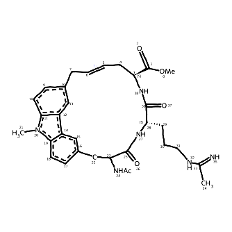 COC(=O)[C@@H]1C/C=C/Cc2ccc3c(c2)c2cc(ccc2n3C)CC(NC(C)=O)C(=O)N[C@@H](CCCNC(C)=N)C(=O)N1